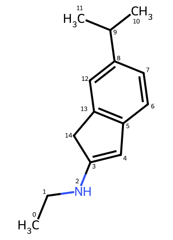 CCNC1=Cc2ccc(C(C)C)cc2C1